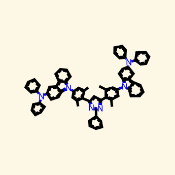 Cc1cc(-n2c3ccccc3c3cc(N(c4ccccc4)c4ccccc4)ccc32)cc(C)c1-c1cc(-c2c(C)cc(-n3c4ccccc4c4cc(N(c5ccccc5)c5ccccc5)ccc43)cc2C)nc(-c2ccccc2)n1